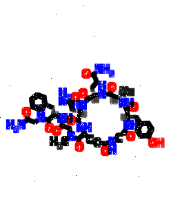 CC[C@H](C)[C@@H]1NC(=O)[C@H](Cc2ccc(O)cc2)NC(=O)CNC(=O)CCC(C(=O)N(C)CC(=O)N[C@@H](Cc2ccccc2)C(=O)NCC(N)=O)NC(=O)[C@H](CC(N)=O)NC(=O)[C@H](CCC(N)=O)NC1=O